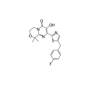 CC1(C)OCCn2c1nc(-c1ncc(Cc3ccc(F)cc3)s1)c(O)c2=O